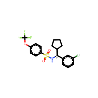 O=S(=O)(N[C@H](c1cccc(Cl)c1)C1CCCC1)c1ccc(OC(F)(F)F)cc1